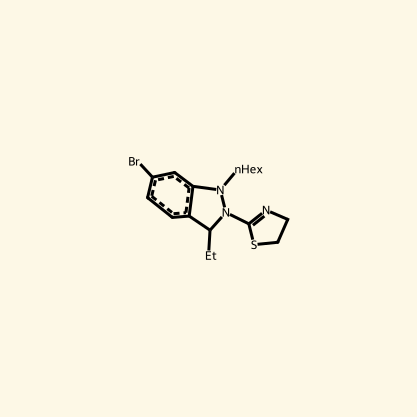 CCCCCCN1c2cc(Br)ccc2C(CC)N1C1=NCCS1